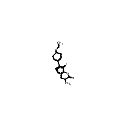 CCOC1CCC(c2ccc3c(c2F)OC(=O)C(C)C3)CC1